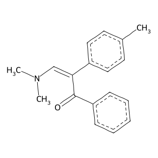 Cc1ccc(C(=CN(C)C)C(=O)c2ccccc2)cc1